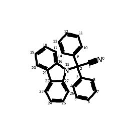 N#CC(c1ccccc1)(c1ccccc1)n1c2ccccc2c2ccccc21